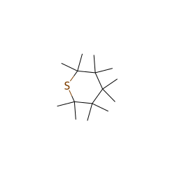 CC1(C)SC(C)(C)C(C)(C)C(C)(C)C1(C)C